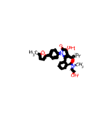 Cc1ccc(-c2ccc(N3C(=O)C(O)=C(C(=O)C(C)C)C3c3ccccc3C(=O)N(C)CCO)cc2)o1